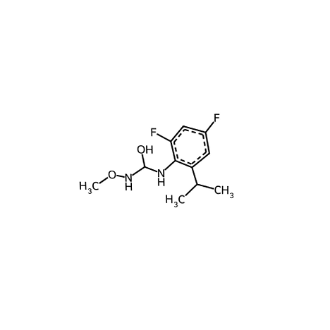 CONC(O)Nc1c(F)cc(F)cc1C(C)C